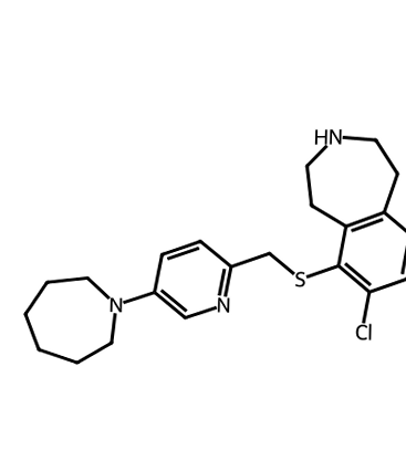 Clc1ccc2c(c1SCc1ccc(N3CCCCCC3)cn1)CCNCC2